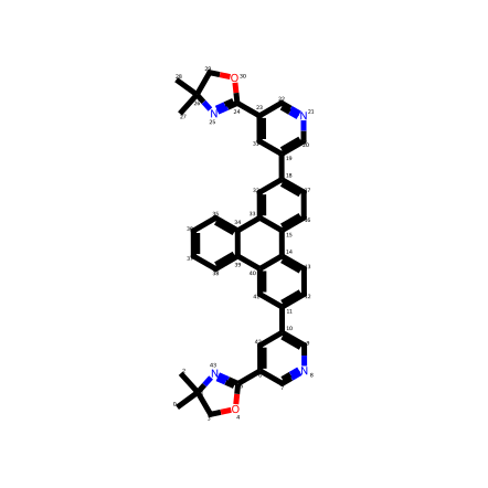 CC1(C)COC(c2cncc(-c3ccc4c5ccc(-c6cncc(C7=NC(C)(C)CO7)c6)cc5c5ccccc5c4c3)c2)=N1